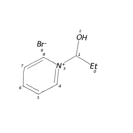 CCC(O)[n+]1ccccc1.[Br-]